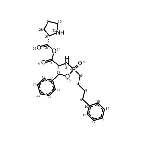 O=C(CNP(=O)(CCCCc1ccccc1)OCc1ccccc1)OC(=O)[C@@H]1CCCN1